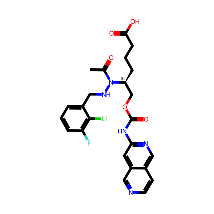 CC(=O)N(NCc1cccc(F)c1Cl)[C@@H](CCCC(=O)O)COC(=O)Nc1cc2cnccc2cn1